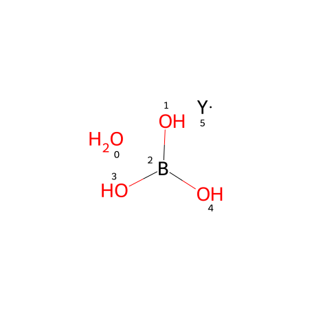 O.OB(O)O.[Y]